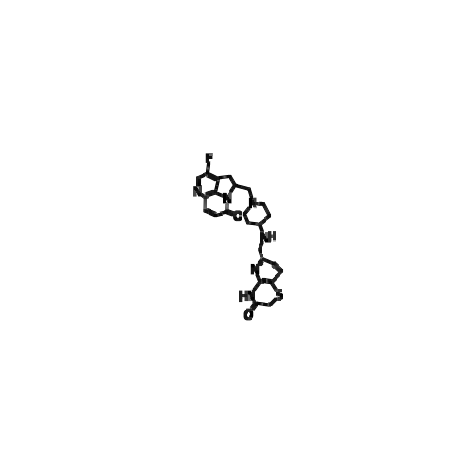 O=C1CSc2ccc(CNC3CCN(CC4Cc5c(F)cnc6ccc(=O)n4c56)CC3)nc2N1